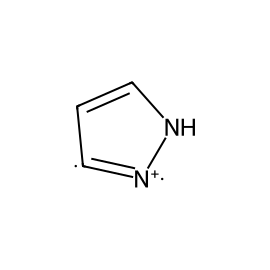 [C]1=[N+]NC=C1